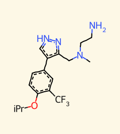 CC(C)Oc1ccc(-c2c[nH]nc2CN(C)CCN)cc1C(F)(F)F